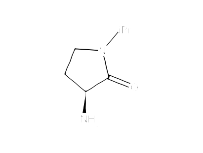 CC(C)N1CC[C@H](N)C1=O